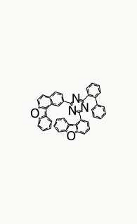 c1ccc(-c2ccccc2-c2nc(-c3ccc4ccc5oc6ccccc6c5c4c3)nc(-c3cccc4oc5ccccc5c34)n2)cc1